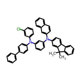 CC1(C)c2ccccc2-c2ccc(N(c3cccc(N(c4ccc(-c5ccccc5)cc4)c4cccc(Cl)c4)c3)c3ccc4ccccc4c3)cc21